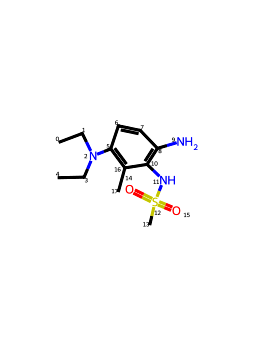 CCN(CC)c1ccc(N)c(NS(C)(=O)=O)c1C